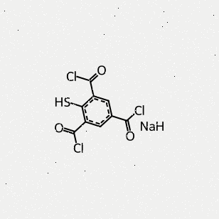 O=C(Cl)c1cc(C(=O)Cl)c(S)c(C(=O)Cl)c1.[NaH]